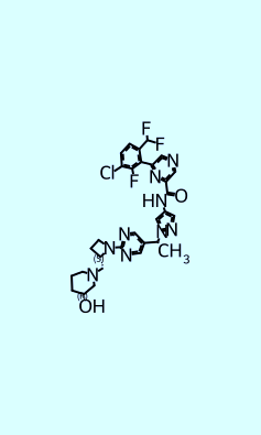 CC(c1cnc(N2CC[C@H]2CN2CCC[C@@H](O)C2)nc1)n1cc(NC(=O)c2cncc(-c3c(C(F)F)ccc(Cl)c3F)n2)cn1